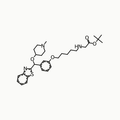 CN1CCC(OC(c2cccc(OCCCCCNCC(=O)OC(C)(C)C)c2)c2nc3ccccc3s2)CC1